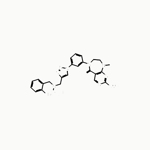 CSc1ncc2c(n1)N(C)CCN(c1cccc(-n3cc(CN(Cc4ccccc4C(C)(C)C)C(=O)O)nn3)c1)C2=O